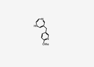 COc1ccc(CC2=CNC=CN=C2)cn1